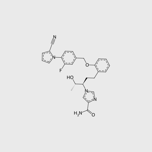 C[C@H](O)[C@@H](CCc1ccccc1OCc1ccc(-n2cccc2C#N)c(F)c1)n1cnc(C(N)=O)c1